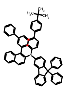 CC(C)(C)c1ccc(-c2ccc(N(c3ccc4c(c3)-c3ccccc3C4(c3ccccc3)c3ccccc3)c3ccc4ccccc4c3-c3cccc(-c4ccccc4)c3)cc2)cc1